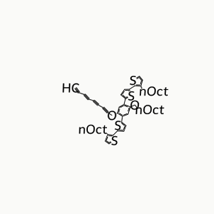 C#CC#CC#CC#COc1cc(-c2ccc(-c3sccc3CCCCCCCC)s2)c(OCCCCCCCC)cc1-c1ccc(-c2sccc2CCCCCCCC)s1